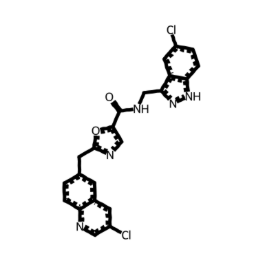 O=C(NCc1n[nH]c2ccc(Cl)cc12)c1cnc(Cc2ccc3ncc(Cl)cc3c2)o1